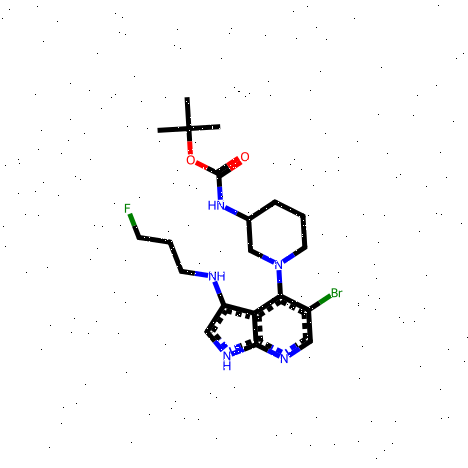 CC(C)(C)OC(=O)NC1CCCN(c2c(Br)cnc3[nH]cc(NCCCF)c23)C1